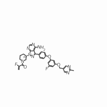 C=C(F)C(=O)N1CCC[C@@H](n2nc(-c3ccc(Oc4cc(F)cc(OCc5cnc(C)nc5)c4)cc3)c3c(N)ncnc32)C1